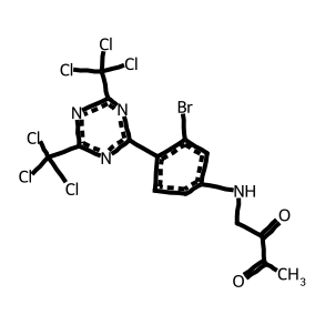 CC(=O)C(=O)CNc1ccc(-c2nc(C(Cl)(Cl)Cl)nc(C(Cl)(Cl)Cl)n2)c(Br)c1